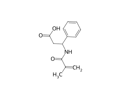 C=C(C)C(=O)NC(CC(=O)O)c1ccccc1